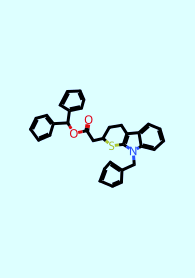 O=C(CC1CCc2c(n(Cc3ccccc3)c3ccccc23)S1)OC(c1ccccc1)c1ccccc1